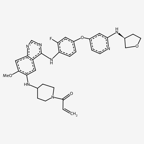 C=CC(=O)N1CCC(Nc2cc3c(Nc4ccc(Oc5ccnc(N[C@H]6CCOC6)c5)cc4F)ncnc3cc2OC)CC1